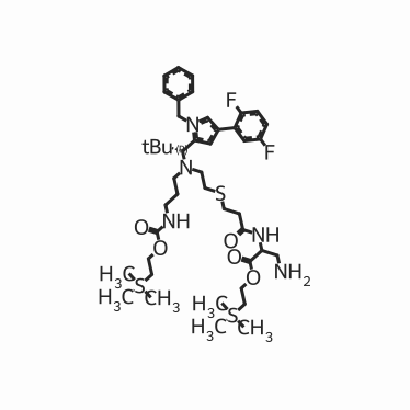 CC(C)(C)[C@H](c1cc(-c2cc(F)ccc2F)cn1Cc1ccccc1)N(CCCNC(=O)OCCS(C)(C)C)CCSCCC(=O)NC(CN)C(=O)OCCS(C)(C)C